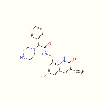 O=C(O)c1cc2cc(Cl)cc(CNC(=O)C(c3ccccc3)N3CCNCC3)c2[nH]c1=O